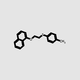 Cc1ccc(SCCOc2cccc3ccccc23)cc1